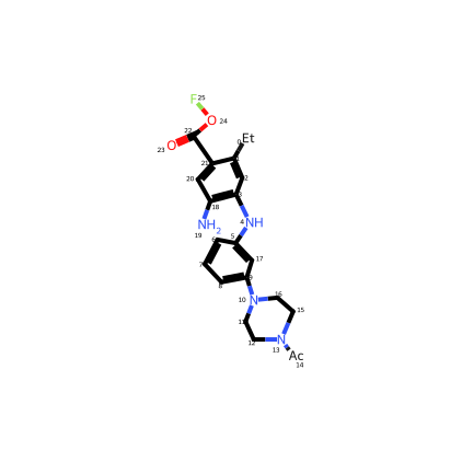 CCc1cc(Nc2cccc(N3CCN(C(C)=O)CC3)c2)c(N)cc1C(=O)OF